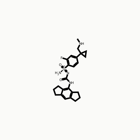 CNCC1(c2ccc([S@@](N)(=O)=NC(=O)Nc3c4c(cc5c3CCC5)CCC4)c(F)c2)CC1